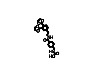 O=C(O)NCC1CCC(C(=O)NCCc2ccc(C3OCCO3)c(C3OCCO3)c2)CC1